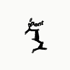 CCCCC[C@H](C)CCC=C(C)C